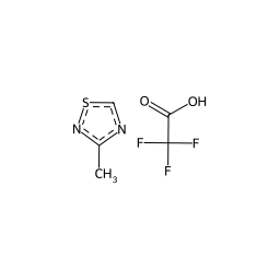 Cc1ncsn1.O=C(O)C(F)(F)F